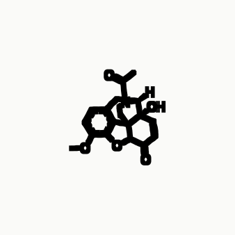 COc1ccc2c3c1OC1C(=O)C=C[C@@]4(O)[C@@H](C2)N(C(C)=O)CC[C@]314